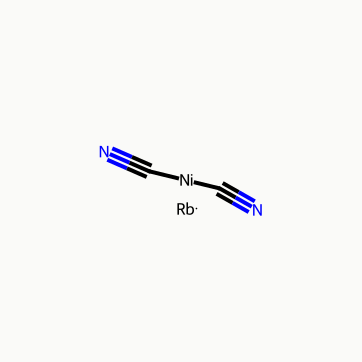 N#[C][Ni][C]#N.[Rb]